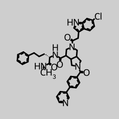 CNC(=O)[C@H](CCCc1ccccc1)NC(=O)C1CN(C(=O)Cc2c[nH]c3cc(Cl)ccc23)CC2CN(C(=O)c3ccc(-c4cccnc4)cc3)CC21